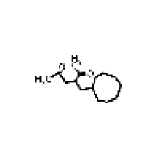 CC(=O)CC(CC1CCCCCCC1)C(C)=O